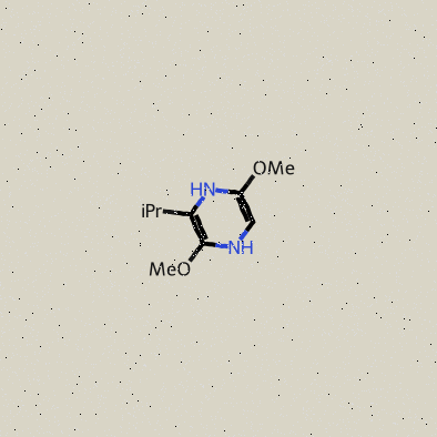 COC1=CNC(OC)=C(C(C)C)N1